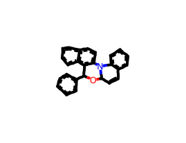 C1=CC2OC(c3ccccc3)c3c(ccc4ccccc34)N2c2ccccc21